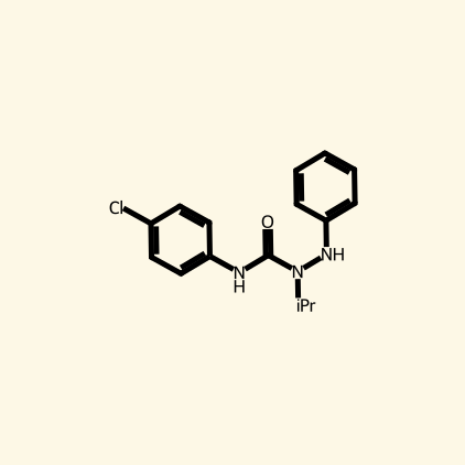 CC(C)N(Nc1ccccc1)C(=O)Nc1ccc(Cl)cc1